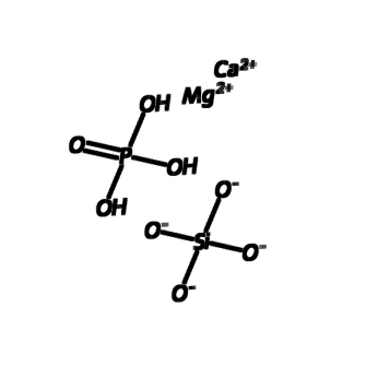 O=P(O)(O)O.[Ca+2].[Mg+2].[O-][Si]([O-])([O-])[O-]